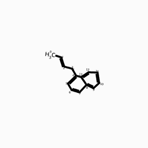 C/C=C/[CH]c1cccc2ccccc12